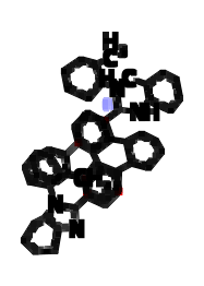 Cc1ccccc1/N=C(/Nc1ccccc1C)c1ccc(-c2ccccc2-c2ccccc2-c2ccccc2-c2ccccc2-c2ccc(-c3nc4ccccc4n3-c3ccccc3C)cc2)cc1